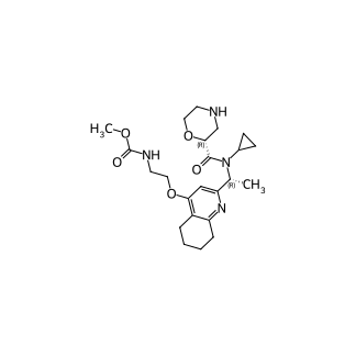 COC(=O)NCCOc1cc([C@@H](C)N(C(=O)[C@H]2CNCCO2)C2CC2)nc2c1CCCC2